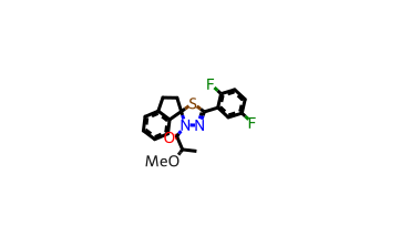 COC(C)C(=O)N1N=C(c2cc(F)ccc2F)SC12CCc1ccccc12